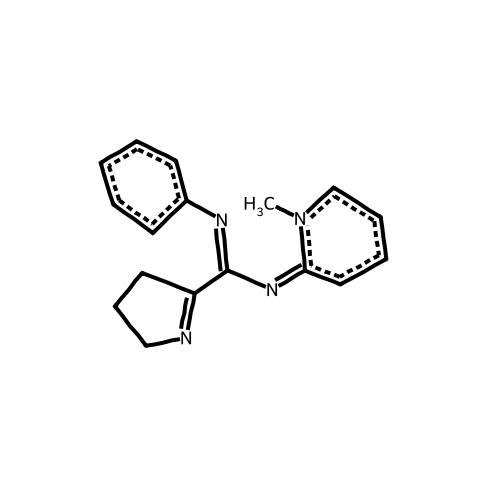 Cn1ccccc1=NC(=Nc1ccccc1)C1=NCCC1